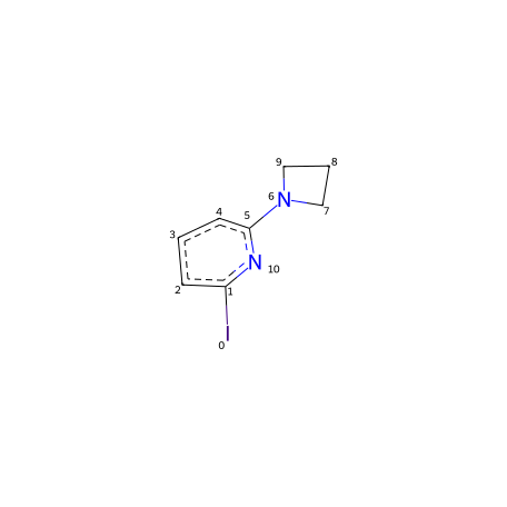 Ic1cccc(N2CCC2)n1